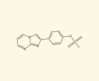 CS(=O)(=O)Oc1ccc(-c2cn3cccnc3n2)cc1